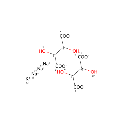 O=C([O-])C(O)C(O)C(=O)[O-].O=C([O-])C(O)C(O)C(=O)[O-].[K+].[Na+].[Na+].[Na+]